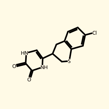 O=c1[nH]cc(C2CSc3cc(Cl)ccc3C2)[nH]c1=O